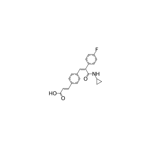 O=C(O)C=Cc1ccc(C=C(C(=O)NC2CC2)c2ccc(F)cc2)cc1